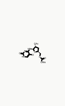 COC(=O)OC[C@@H]1C[C@@H](OC(C)=O)[C@H](Nc2nc(=O)[nH]cc2Cl)O1